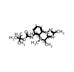 Cc1nc2n(n1)-c1cccc(NC(=O)OC(C)(C)C)c1N(C)C2C